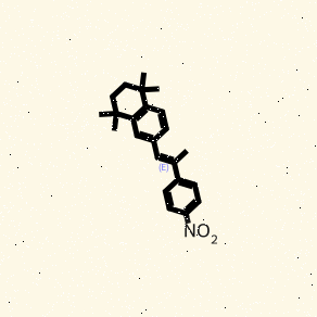 C/C(=C\c1ccc2c(c1)C(C)(C)CCC2(C)C)c1ccc([N+](=O)[O-])cc1